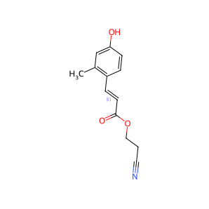 Cc1cc(O)ccc1/C=C/C(=O)OCCC#N